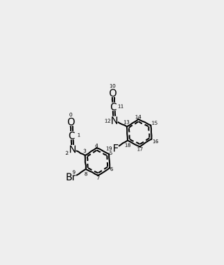 O=C=Nc1ccccc1Br.O=C=Nc1ccccc1F